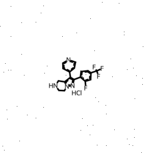 Cl.Fc1cc(C(F)(F)F)ccc1-c1nn2c(c1-c1ccncc1)CNCC2